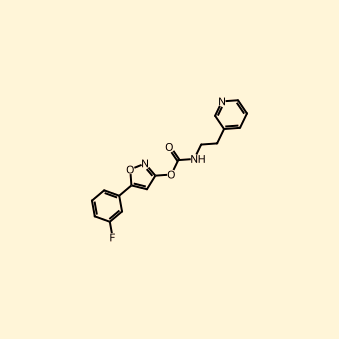 O=C(NCCc1cccnc1)Oc1cc(-c2cccc(F)c2)on1